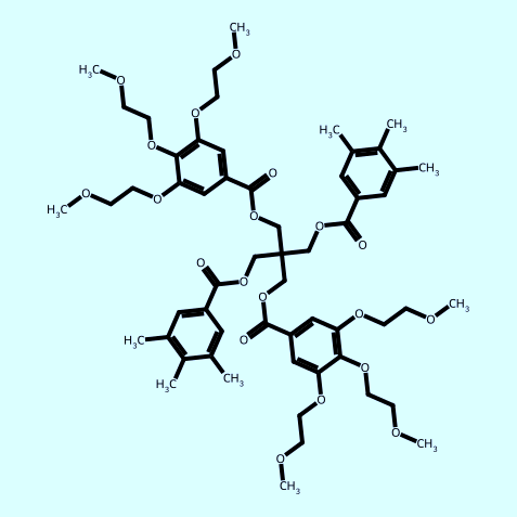 COCCOc1cc(C(=O)OCC(COC(=O)c2cc(C)c(C)c(C)c2)(COC(=O)c2cc(C)c(C)c(C)c2)COC(=O)c2cc(OCCOC)c(OCCOC)c(OCCOC)c2)cc(OCCOC)c1OCCOC